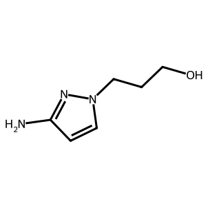 Nc1ccn(CCCO)n1